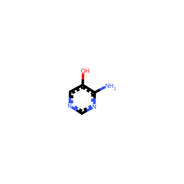 Nc1n[c]ncc1O